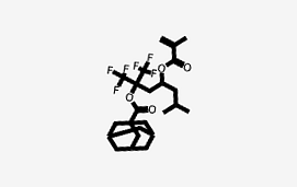 C=C(C)C(=O)OC(CC(C)C)CC(OC(=O)C12CC3CC(CC(C3)C1)C2)(C(F)(F)F)C(F)(F)F